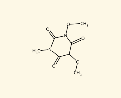 COC1C(=O)N(C)C(=O)N(OC)C1=O